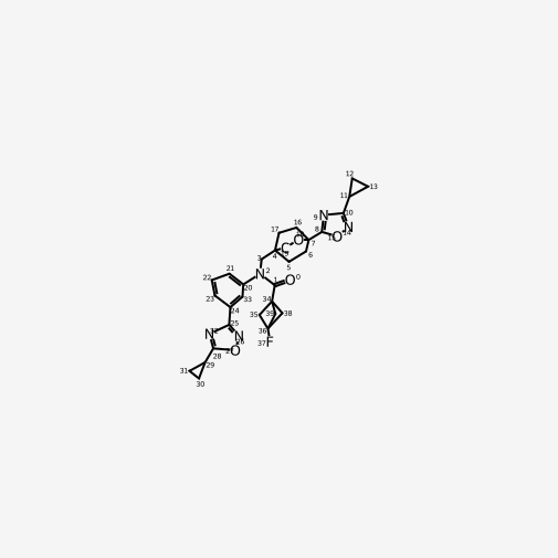 O=C(N(CC12CCC(c3nc(C4CC4)no3)(CC1)OC2)c1cccc(-c2noc(C3CC3)n2)c1)C12CC(F)(C1)C2